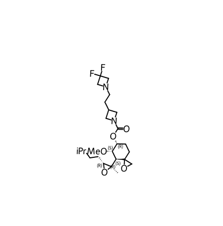 CO[C@@H]1[C@H](OC(=O)N2CC(CCN3CC(F)(F)C3)C2)CCC2(CO2)[C@H]1[C@@]1(C)O[C@@H]1CCC(C)C